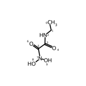 CCNC(=O)C(=O)N(O)O